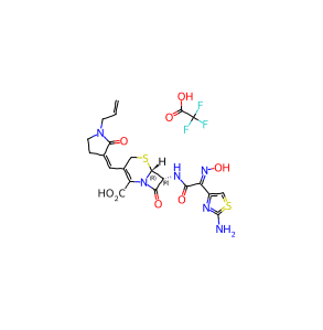 C=CCN1CCC(=CC2=C(C(=O)O)N3C(=O)[C@@H](NC(=O)C(=NO)c4csc(N)n4)[C@H]3SC2)C1=O.O=C(O)C(F)(F)F